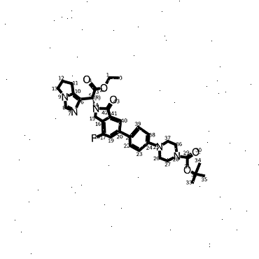 CCOC(=O)[C@@H](c1ncn2c1CCC2)N1Cc2c(F)cc(-c3ccc(N4CCN(C(=O)OC(C)(C)C)CC4)cc3)cc2C1=O